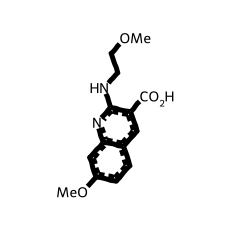 COCCNc1nc2cc(OC)ccc2cc1C(=O)O